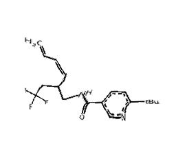 C=C/C=C\C(CNC(=O)c1ccc(C(C)(C)C)nc1)CC(F)(F)I